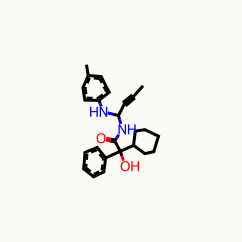 CC#CC(NC(=O)C(O)(c1ccccc1)C1CCCCC1)Nc1ccc(C)cc1